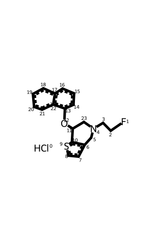 Cl.FCCN1Cc2ccsc2C(Oc2cccc3ccccc23)C1